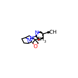 C#Cc1ccc(N2CC3CCC(C2)N3CC2(C)COC2)nc1